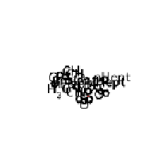 CCCCCCCC1(CCCCCCC)c2cc(N(c3ccc4c(c3)C(C)(C)c3cc5c(cc3-4)C(C)(C)c3ccc4oc6ccccc6c4c3-5)c3cccc4oc5ccccc5c34)ccc2-c2c1c1c(c3c2oc2ccccc23)-c2ccccc2C1(CCCCCCC)CCCCCCC